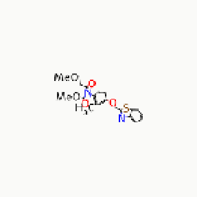 COCCC(=O)N(C(=O)OC)c1ccc(OCc2nc3ccccc3s2)cc1C